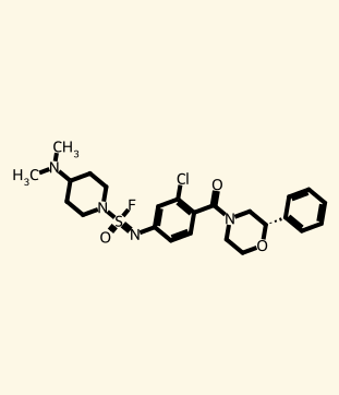 CN(C)C1CCN(S(=O)(F)=Nc2ccc(C(=O)N3CCO[C@@H](c4ccccc4)C3)c(Cl)c2)CC1